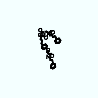 O=C1OC(CCCc2ccc(OCc3coc(/C=C/c4ccccc4)n3)cc2)C(=O)N1Cc1coc(/C=C/c2ccccc2)n1